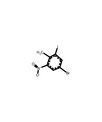 Cc1c(I)cc(Br)cc1[N+](=O)[O-]